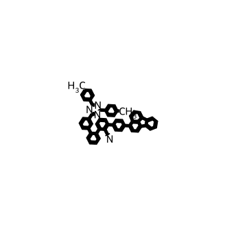 Cc1ccc(-c2nc(-c3ccc(C)cc3)nc(-c3cccc(-c4ccccc4-c4cccc(-c5ccc(-c6ccc7c8c(cccc68)-c6ccccc6-7)cc5)c4C#N)c3)n2)cc1